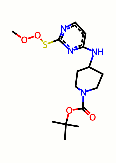 COOSc1nccc(NC2CCN(C(=O)OC(C)(C)C)CC2)n1